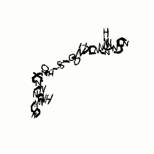 CC1(CNC(=O)OCCSSCCOC(=O)NCC2(C)CCN(c3cnc4c(N5CCCc6ncccc65)n[nH]c4n3)CC2)CCN(c2cnc3c(N4CCCc5ncccc54)n[nH]c3n2)CC1